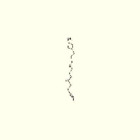 CC#CCCNCCCOCCCN1CC(N)C1